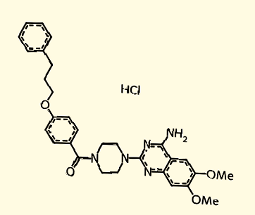 COc1cc2nc(N3CCN(C(=O)c4ccc(OCCCc5ccccc5)cc4)CC3)nc(N)c2cc1OC.Cl